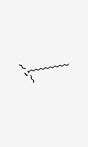 CCCCCCCCCCCCCCCCCc1n(CCCC)cc[n+]1CCCC